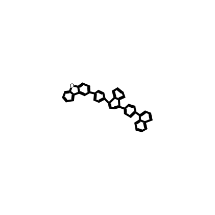 c1ccc2c(-c3ccc(-c4ccc(-c5ccc(-c6ccc7oc8ccccc8c7c6)cc5)c5ccccc45)cc3)cccc2c1